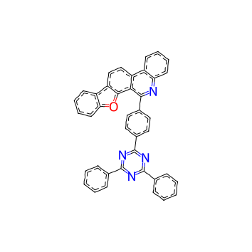 c1ccc(-c2nc(-c3ccccc3)nc(-c3ccc(-c4nc5ccccc5c5ccc6c7ccccc7oc6c45)cc3)n2)cc1